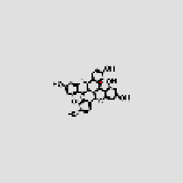 O=c1c(-c2c(-c3ccc(O)cc3)oc3cc(O)cc(O)c3c2=O)c(-c2ccc(O)cc2)oc2cc(O)cc(O)c12